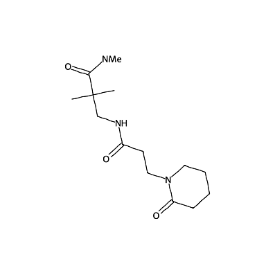 CNC(=O)C(C)(C)CNC(=O)CCN1CCCCC1=O